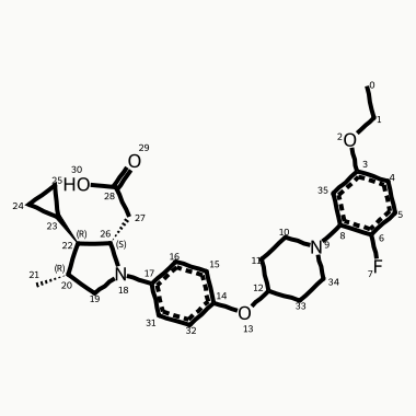 CCOc1ccc(F)c(N2CCC(Oc3ccc(N4C[C@H](C)[C@@H](C5CC5)[C@@H]4CC(=O)O)cc3)CC2)c1